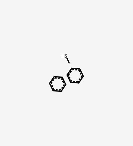 CS.c1ccccc1.c1ccccc1